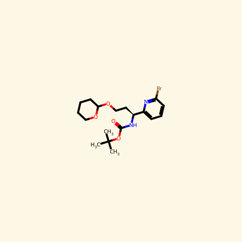 CC(C)(C)OC(=O)N[C@@H](CCOC1CCCCO1)c1cccc(Br)n1